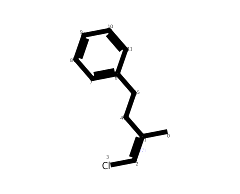 C/C(=C/Cl)CCc1ccccc1